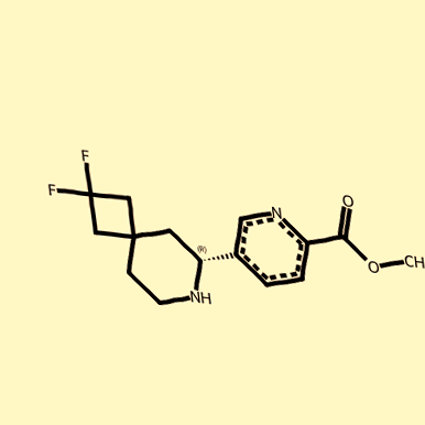 COC(=O)c1ccc([C@H]2CC3(CCN2)CC(F)(F)C3)cn1